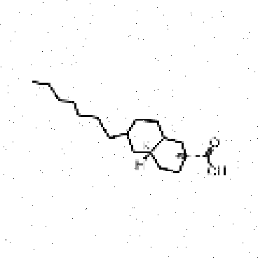 CCCCCCCC1CCC2C[C@H](C(=O)O)CC[C@@H]2C1